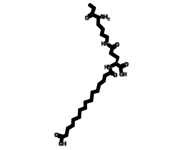 CCC(=O)[C@@H](N)CCCCNC(=O)CC[C@H](NC(=O)CCCCCCCCCCCCCCC(=O)O)C(=O)O